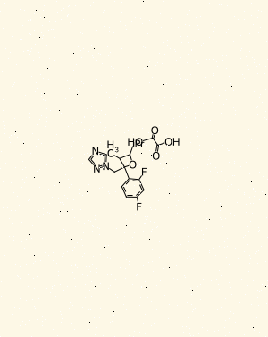 CC(C)C1OC(Cn2cncn2)(c2ccc(F)cc2F)C1C.O=C(O)C(=O)O